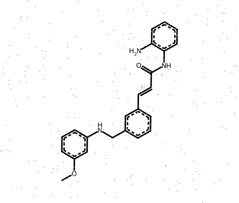 COc1cccc(NCc2cccc(/C=C/C(=O)Nc3ccccc3N)c2)c1